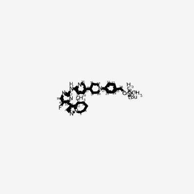 C[C@@H]1CCCCn2ncc(-c3nc(Nc4ccc(C5CCN(c6ccc(CO[Si](C)(C)C(C)(C)C)cc6)CC5)cn4)ncc3F)c21